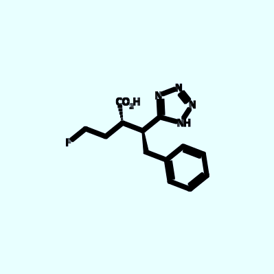 O=C(O)[C@@H](CCF)[C@H](Cc1ccccc1)c1nnn[nH]1